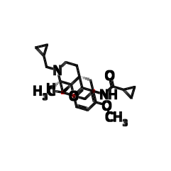 CC[C@]12OCC(NC(=O)C3CC3)C[C@@]13CCN(CC1CC1)[C@@H]2Cc1ccc(OC)cc13